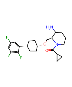 NC1CCCN(C(=O)C2CC2)[C@H]1CO[C@H]1CC[C@@H](c2cc(F)cc(F)c2F)CC1